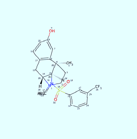 CN1CC[C@]2(C)c3cc(O)ccc3C[C@@H]1[C@@H]2N(C)S(=O)(=O)c1cccc(C(F)(F)F)c1